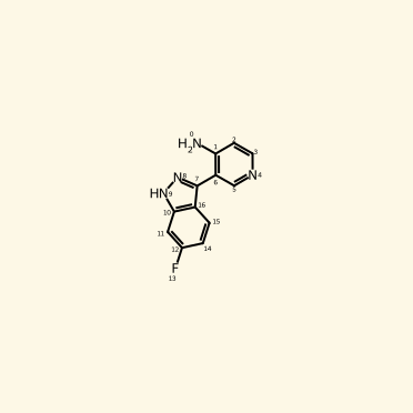 Nc1ccncc1-c1n[nH]c2cc(F)ccc12